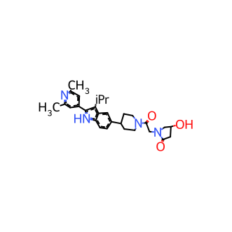 Cc1cc(-c2[nH]c3ccc(C4CCN(C(=O)CN5CC(O)CC5=O)CC4)cc3c2C(C)C)cc(C)n1